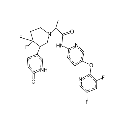 CC(C(=O)Nc1ccc(Oc2ncc(F)cc2F)cn1)N1CCC(F)(F)C(c2ccc(=O)[nH]c2)C1